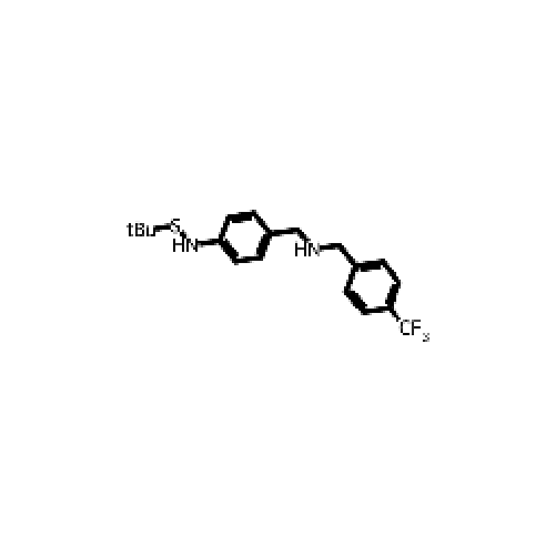 CC(C)(C)SNc1ccc(CNCc2ccc(C(F)(F)F)cc2)cc1